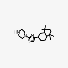 CC1(C)CCC(C)(C)C2CC(c3csc(N4CCNCC4)n3)CCC21